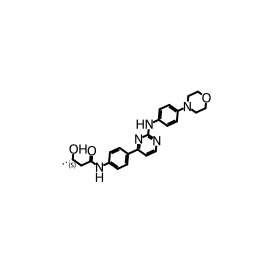 C[C@H](O)CC(=O)Nc1ccc(-c2ccnc(Nc3ccc(N4CCOCC4)cc3)n2)cc1